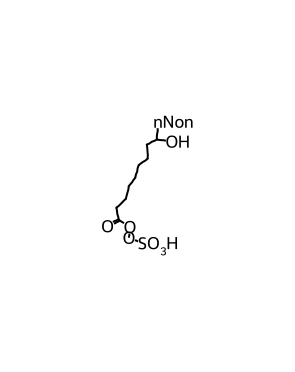 CCCCCCCCCC(O)CCCCCCCC(=O)OOS(=O)(=O)O